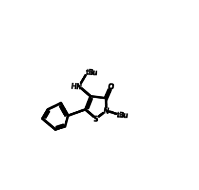 CC(C)(C)Nc1c(-c2ccccc2)sn(C(C)(C)C)c1=O